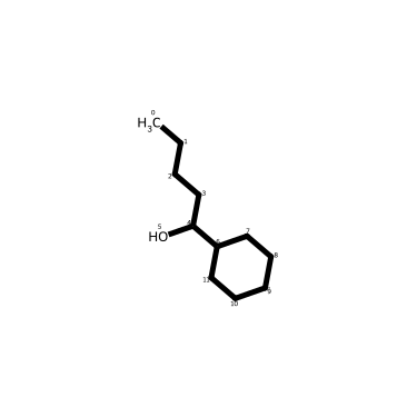 CCCCC(O)C1CC[CH]CC1